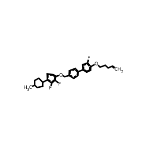 C=CCCCOc1ccc(-c2ccc(COc3ccc(C4CCC(C)CC4)c(F)c3F)cc2)cc1F